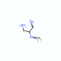 C=NC(C=N)CN